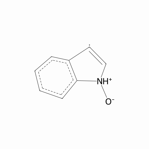 [O-][NH+]1C=[C]c2ccccc21